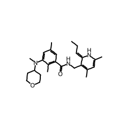 CC/C=C1\NC(C)=CC(C)=C1CNC(=O)c1cc(C)cc(N(C)C2CCOCC2)c1C